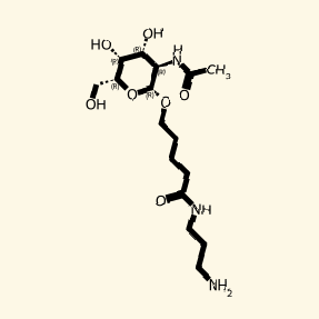 CC(=O)N[C@H]1[C@H](OCCCCC(=O)NCCCN)O[C@H](CO)[C@H](O)[C@@H]1O